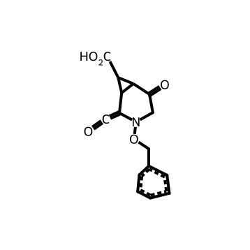 O=C=C1C2C(C(=O)O)C2C(=O)CN1OCc1ccccc1